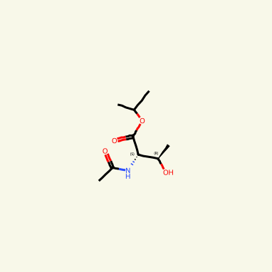 CC(=O)N[C@H](C(=O)OC(C)C)[C@@H](C)O